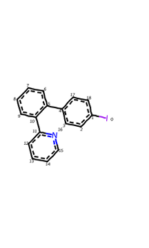 Ic1ccc(-c2ccccc2-c2ccccn2)cc1